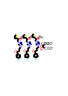 CCC(C)OC(Cn1cc[n+](CCCC(=O)c2ccc(F)cc2)c1)c1cccs1.CCC(C)OC(Cn1cc[n+](CCCC(=O)c2ccc(F)cc2)c1)c1cccs1.CCC(C)OC(Cn1cc[n+](CCCC(=O)c2ccc(F)cc2)c1)c1cccs1.O=C([O-])CC(O)(CC(=O)[O-])C(=O)[O-]